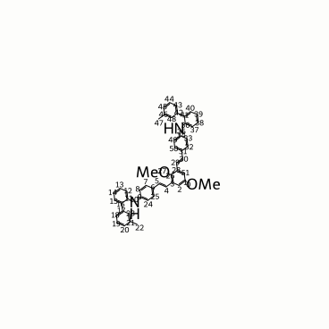 COc1cc(C=Cc2ccc(Nc3ccccc3-c3cccc(C)c3)cc2)c(OC)c(C=Cc2ccc(Nc3ccccc3-c3cccc(C)c3)cc2)c1